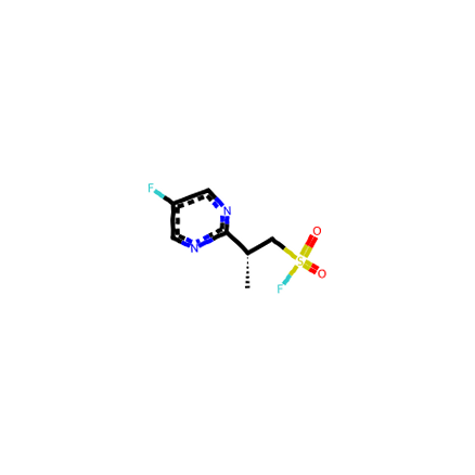 C[C@@H](CS(=O)(=O)F)c1ncc(F)cn1